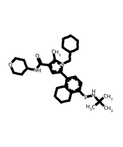 Cc1c(C(=O)NC2CCOCC2)cc(-c2ccc(SNC(C)(C)C)c3c2CCCC3)n1CC1CCCCC1